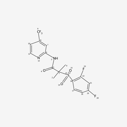 CC(C)(C(=O)Nc1cc(C(F)(F)F)ccn1)S(=O)(=O)c1ccc(F)cc1F